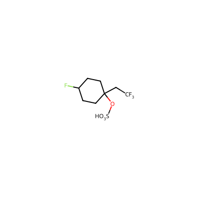 O=S(=O)(O)OC1(CC(F)(F)F)CCC(F)CC1